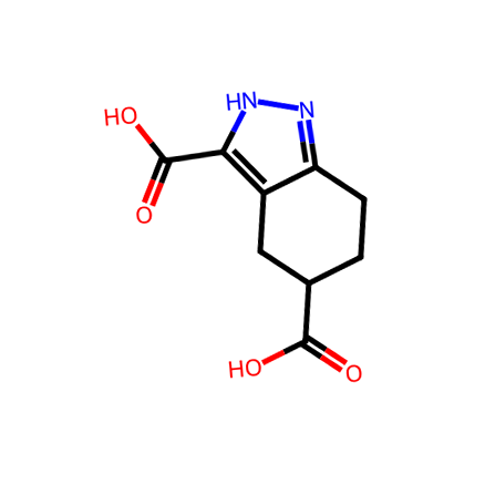 O=C(O)c1[nH]nc2c1CC(C(=O)O)CC2